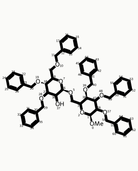 CO[C@H]1OC(CO[C@@H]2OC(COCc3ccccc3)[C@@H](OCc3ccccc3)C(OCc3ccccc3)C2O)[C@@H](OCc2ccccc2)C(OCc2ccccc2)C1OCc1ccccc1